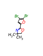 CC1(C)COC(c2cc(Br)c(Br)o2)=N1